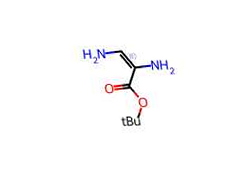 CC(C)(C)OC(=O)/C(N)=C\N